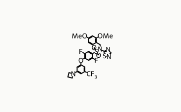 COc1ccc(CN(c2ncns2)S(=O)(=O)c2cc(F)c(Oc3cc(N4CCC4)cc(C(F)(F)F)c3)cc2F)c(OC)c1